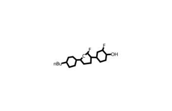 CCCCC1CCC(C2CCC(C3CCC(O)C(F)C3)C(F)C2)CC1